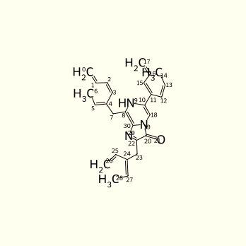 C=C/C=C\C(=C/C)Cc1[nH]c(C(/C=C\C)=C/C=C)cn2c(=O)c(C/C(C=C)=C/C)nc1-2